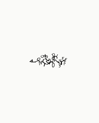 COC(=O)[C@@H](C)C[C@H](Cc1nc(C(F)(F)F)cs1)NC(=O)c1csc([C@@H](CC(C(C)C)N(C)C(=O)CC2CC2)OC(C)=O)n1